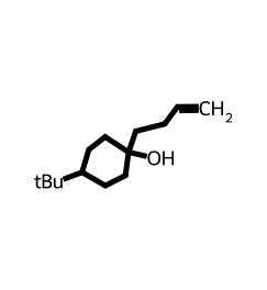 C=CCCC1(O)CCC(C(C)(C)C)CC1